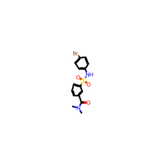 CN(C)C(=O)c1cccc(S(=O)(=O)Nc2ccc(Br)cc2)c1